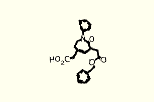 O=C(O)CC1=CC(CC(=O)OCc2ccccc2)C(=O)N(c2ccccc2)CC1